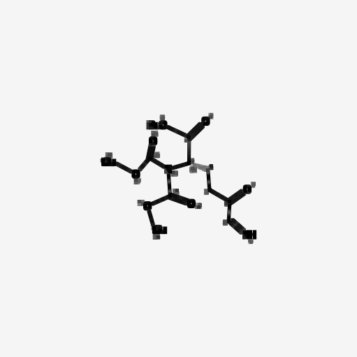 CC(C)COC(=O)[C@H](CCC(=O)C=N)N(C(=O)OC(C)(C)C)C(=O)OC(C)(C)C